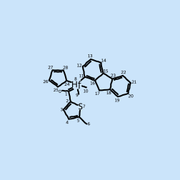 C[C](c1ccc(C)s1)=[Hf]([CH3])([CH3])([c]1cccc2c1Cc1ccccc1-2)[CH]1C=CC=C1